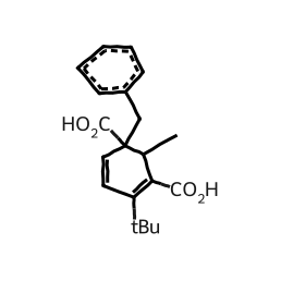 CC1C(C(=O)O)=C(C(C)(C)C)C=CC1(Cc1ccccc1)C(=O)O